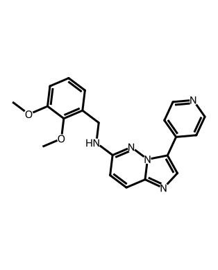 COc1cccc(CNc2ccc3ncc(-c4ccncc4)n3n2)c1OC